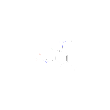 CCCCNc1cc(C=O)cc(N[SH](=O)=O)c1F